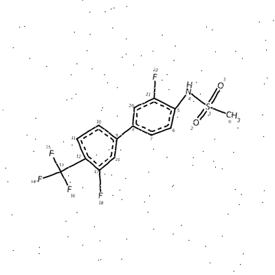 CS(=O)(=O)Nc1ccc(-c2ccc(C(F)(F)F)c(F)c2)cc1F